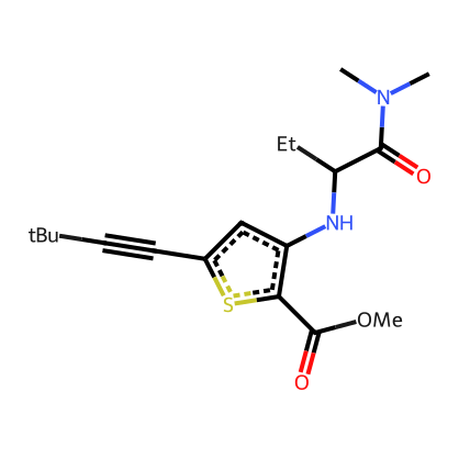 CCC(Nc1cc(C#CC(C)(C)C)sc1C(=O)OC)C(=O)N(C)C